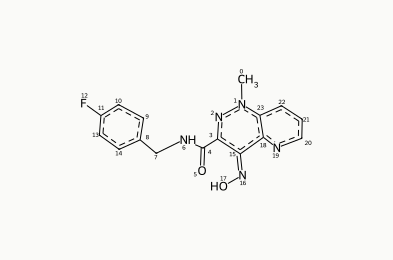 Cn1nc(C(=O)NCc2ccc(F)cc2)/c(=N\O)c2ncccc21